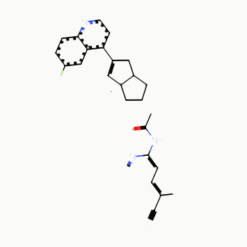 C#C/C(C)=C/C=C(\N=C)NC(=O)C[C@H]1CC2CC(c3ccnc4ccc(F)cc34)=C[C@@H]2C1